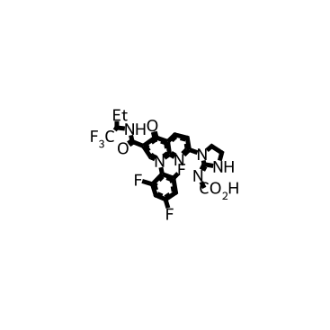 CCC(NC(=O)c1cn(-c2c(F)cc(F)cc2F)c2nc(N3CCNC3=NC(=O)O)ccc2c1=O)C(F)(F)F